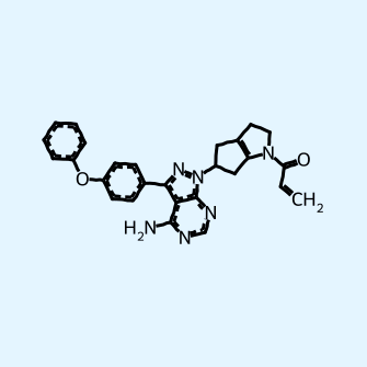 C=CC(=O)N1CCC2=C1CC(n1nc(-c3ccc(Oc4ccccc4)cc3)c3c(N)ncnc31)C2